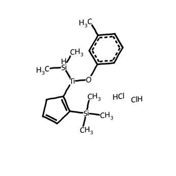 Cc1cccc([O][Ti]([C]2=C([Si](C)(C)C)C=CC2)[SiH](C)C)c1.Cl.Cl